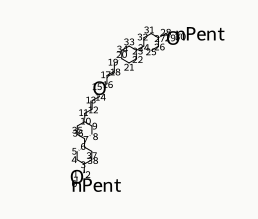 CCCCCOC[C@H]1CC[C@H]([C@H]2CC[C@H](CC=CCOCC=CC[C@H]3CC[C@H]([C@H]4CC[C@H](COCCCCC)CC4)CC3)CC2)CC1